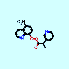 CC(C(=O)OOc1ccc([N+](=O)[O-])c2cccnc12)c1cccnc1